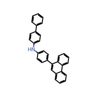 c1ccc(-c2ccc(Nc3ccc(-c4cc5ccccc5c5ccccc45)cc3)cc2)cc1